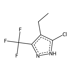 CCc1c(C(F)(F)F)n[nH]c1Cl